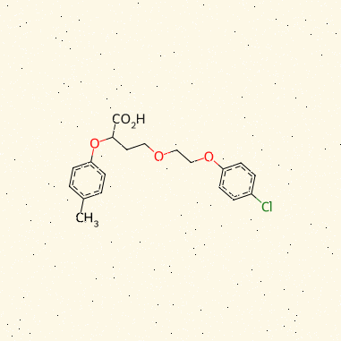 Cc1ccc(OC(CCOCCOc2ccc(Cl)cc2)C(=O)O)cc1